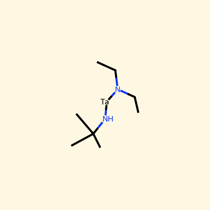 CC[N](CC)[Ta][NH]C(C)(C)C